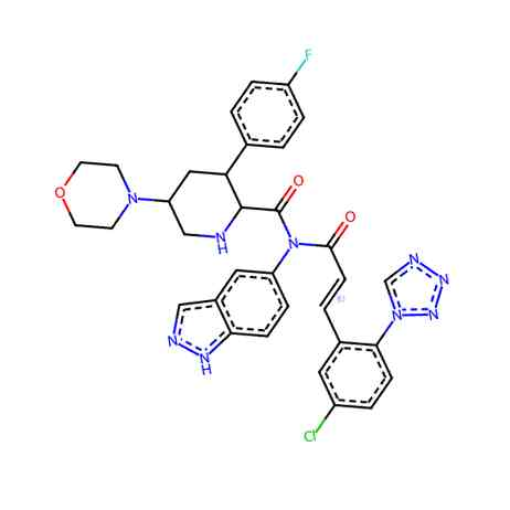 O=C(/C=C/c1cc(Cl)ccc1-n1cnnn1)N(C(=O)C1NCC(N2CCOCC2)CC1c1ccc(F)cc1)c1ccc2[nH]ncc2c1